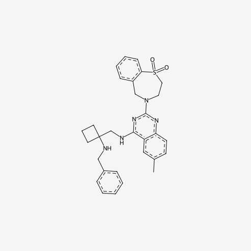 Cc1ccc2nc(N3CCS(=O)(=O)c4ccccc4C3)nc(NCC3(NCc4ccccc4)CCC3)c2c1